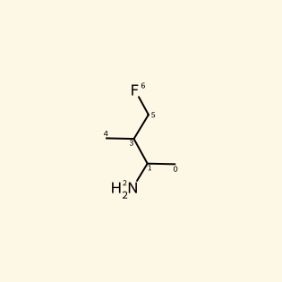 CC(N)C(C)CF